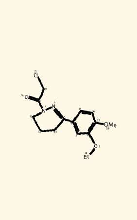 CCOc1cc(C2=NN(C(=O)CCl)CCC2)ccc1OC